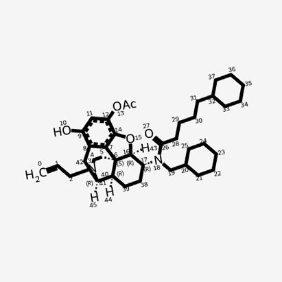 C=CCN1CC[C@]23c4c5c(O)cc(OC(C)=O)c4O[C@H]2[C@H](N(CC2CCCCC2)C(=O)CCCCC2CCCCC2)CC[C@H]3[C@H]1C5